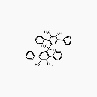 Cc1c(O)c(-c2ccccc2)cc(C(C)(C)c2cc(-c3ccccc3)c(O)c(C)c2-c2ccccc2)c1-c1ccccc1